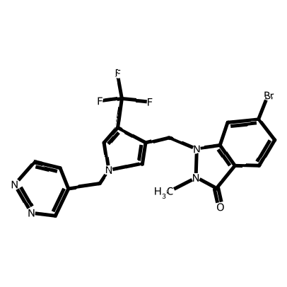 Cn1c(=O)c2ccc(Br)cc2n1Cc1cn(Cc2ccnnc2)cc1C(F)(F)F